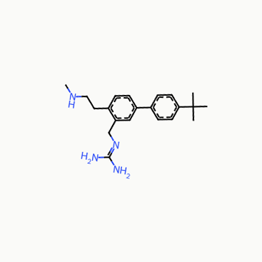 CNCCc1ccc(-c2ccc(C(C)(C)C)cc2)cc1CN=C(N)N